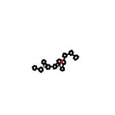 c1ccc(-c2cccc(-c3cccc(-c4ccc(-c5ccccc5-n5c6ccccc6c6cc(-c7ccc8c(c7)c7ccccc7n8-c7cccc(-c8ccccc8)c7)ccc65)cc4)c3)c2)cc1